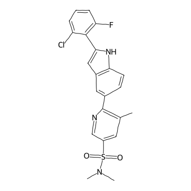 Cc1cc(S(=O)(=O)N(C)C)cnc1-c1ccc2[nH]c(-c3c(F)cccc3Cl)cc2c1